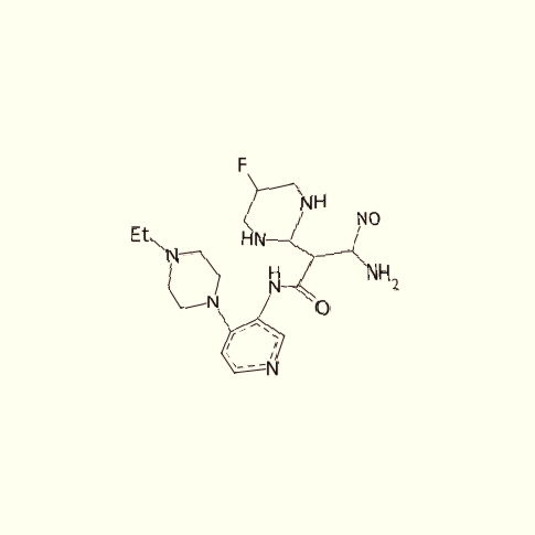 CCN1CCN(c2ccncc2NC(=O)C(C(N)N=O)C2NCC(F)CN2)CC1